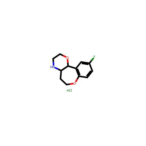 Cl.Fc1ccc2c(c1)C1OCCNC1CCO2